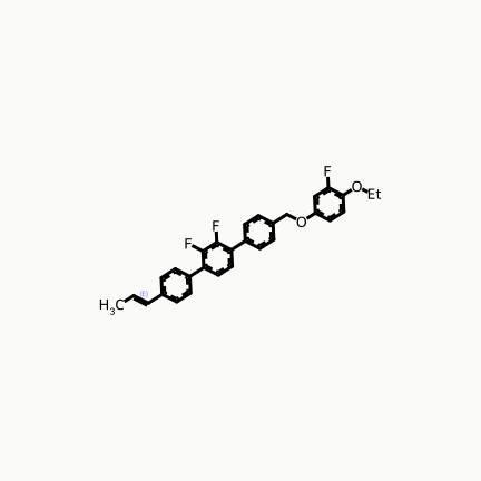 C/C=C/c1ccc(-c2ccc(-c3ccc(COc4ccc(OCC)c(F)c4)cc3)c(F)c2F)cc1